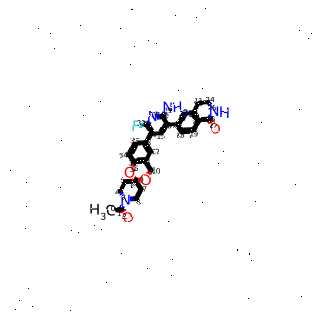 CC(=O)N1CCC2(CC1)OCc1cc(-c3cc(-c4ccc5c(c4)CCNC5=O)c(N)nc3F)ccc1O2